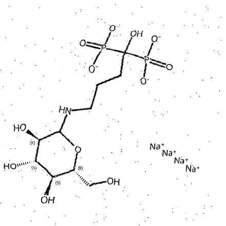 O=P([O-])([O-])C(O)(CCCNC1O[C@H](CO)[C@@H](O)[C@H](O)[C@H]1O)P(=O)([O-])[O-].[Na+].[Na+].[Na+].[Na+]